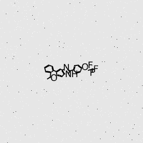 CC(=O)c1ccccc1-c1ccc2[nH]c(-c3ccc(OCC(F)(F)F)cc3)nc2c1